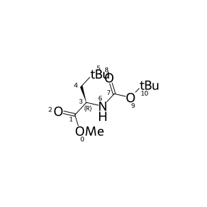 COC(=O)[C@@H](CC(C)(C)C)NC(=O)OC(C)(C)C